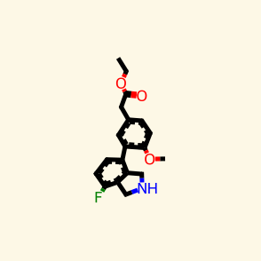 CCOC(=O)Cc1ccc(OC)c(-c2ccc(F)c3c2CNC3)c1